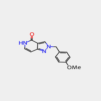 COc1ccc(Cn2cc3c(=O)[nH]ccc3n2)cc1